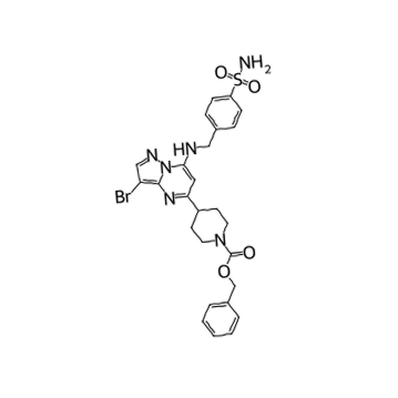 NS(=O)(=O)c1ccc(CNc2cc(C3CCN(C(=O)OCc4ccccc4)CC3)nc3c(Br)cnn23)cc1